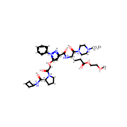 CCOCCOC(=O)CC[C@H](NC(=O)c1cc(OCC(=O)N2CCC[C@H]2C(=O)NC2CCC2)n(-c2ccccc2)n1)C(=O)N1CCN(C(=O)OCC)CC1